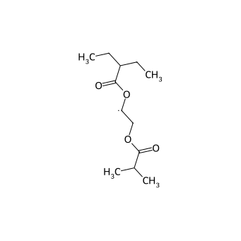 CCC(CC)C(=O)O[CH]COC(=O)C(C)C